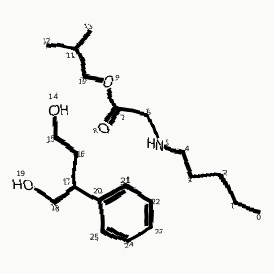 CCCCCNCC(=O)OCC(C)C.OCCC(CO)c1ccccc1